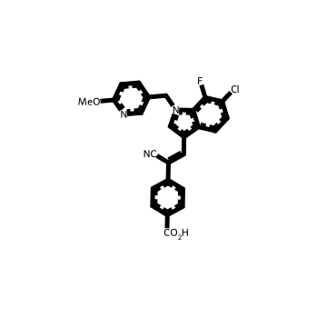 COc1ccc(Cn2cc(/C=C(\C#N)c3ccc(C(=O)O)cc3)c3ccc(Cl)c(F)c32)cn1